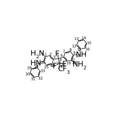 Nc1cc(C(F)(c2ccc(Nc3ccccc3)c(N)c2)C(F)(F)C(F)(F)F)ccc1Nc1ccccc1